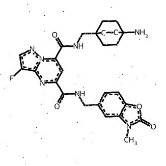 Cn1c(=O)oc2ccc(CNC(=O)c3cc(C(=O)NCC45CCC(N)(CC4)CC5)n4ncc(F)c4n3)cc21